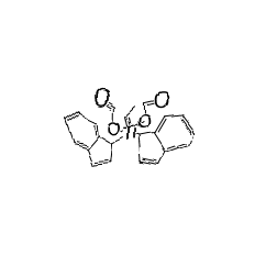 C[CH]=[Ti]([O]C=O)([O]C=O)([CH]1C=Cc2ccccc21)[CH]1C=Cc2ccccc21